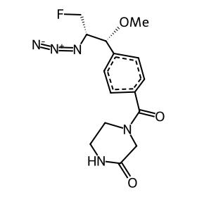 CO[C@H](c1ccc(C(=O)N2CCNC(=O)C2)cc1)[C@@H](CF)N=[N+]=[N-]